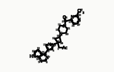 CC(=O)CC1(n2cc(-c3ncnc4[nH]ccc34)cn2)CC(N2CCN(C(=O)c3ccnc(C(F)(F)F)n3)CC2)C1